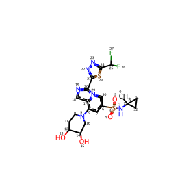 CC1(NS(=O)(=O)c2cc(N3CCC(O)C(O)C3)c3cnc(-c4nnc(C(F)F)s4)n3c2)CC1